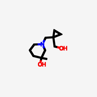 CC1(O)CCCN(CC2(CO)CC2)C1